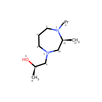 CC(C)N1CCCN(C[C@@H](C)O)C[C@@H]1C